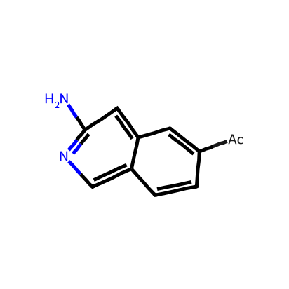 CC(=O)c1ccc2cnc(N)cc2c1